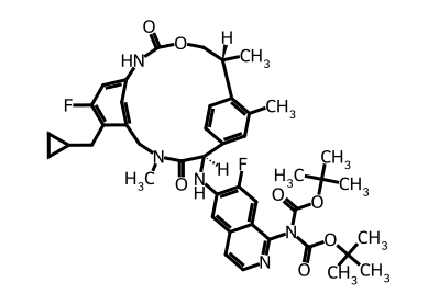 Cc1cc2ccc1[C@@H](C)COC(=O)Nc1cc(F)c(CC3CC3)c(c1)CN(C)C(=O)[C@@H]2Nc1cc2ccnc(N(C(=O)OC(C)(C)C)C(=O)OC(C)(C)C)c2cc1F